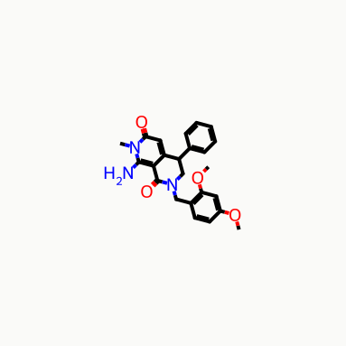 COc1ccc(CN2CC(c3ccccc3)c3cc(=O)n(C)c(N)c3C2=O)c(OC)c1